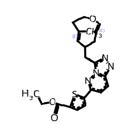 CCOC(=O)c1ccc(-c2ccc3nnc(CC4/C=C(\C)CCO/C=C/C4)n3n2)s1